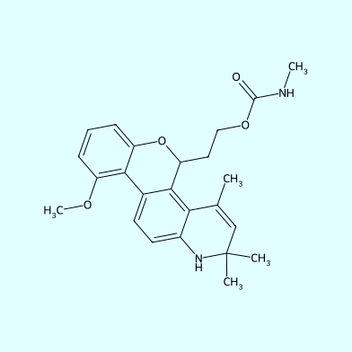 CNC(=O)OCCC1Oc2cccc(OC)c2-c2ccc3c(c21)C(C)=CC(C)(C)N3